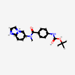 CN(C(=O)c1ccc(NC(=O)OC(C)(C)C)cc1)c1ccc2nccn2c1